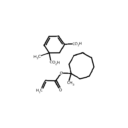 C=CC(=O)OC1(C)CCCCCCC1.CC1(C(=O)O)C=CC=C(C(=O)O)C1